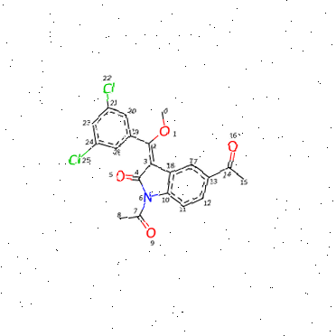 COC(=C1C(=O)N(C(C)=O)c2ccc(C(C)=O)cc21)c1cc(Cl)cc(Cl)c1